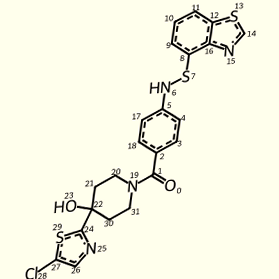 O=C(c1ccc(NSc2cccc3scnc23)cc1)N1CCC(O)(c2ncc(Cl)s2)CC1